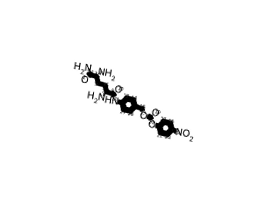 NC(=O)C(N)CC[C@H](N)C(=O)Nc1ccc(COC(=O)Oc2ccc([N+](=O)[O-])cc2)cc1